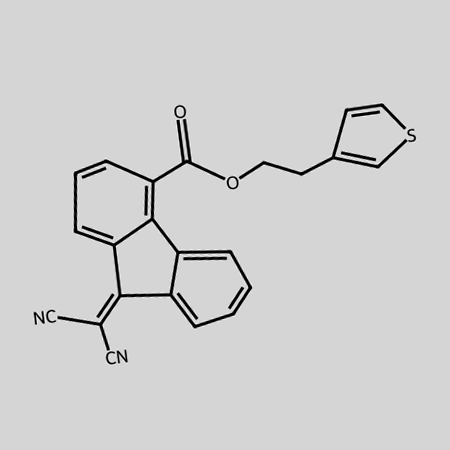 N#CC(C#N)=C1c2ccccc2-c2c(C(=O)OCCc3ccsc3)cccc21